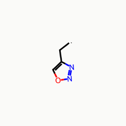 [CH2]Cc1conn1